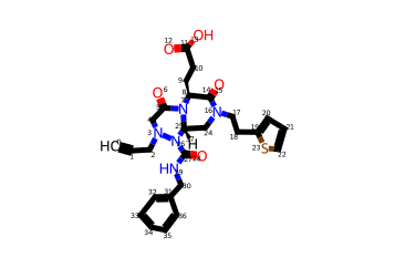 C#CCN1CC(=O)N2[C@@H](CCC(=O)O)C(=O)N(CCc3cccs3)C[C@@H]2N1C(=O)NCc1ccccc1